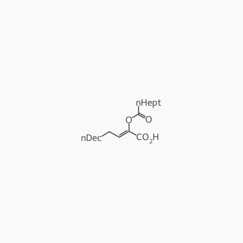 CCCCCCCCCCCC=C(OC(=O)CCCCCCC)C(=O)O